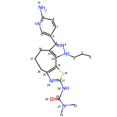 CCCn1nc(-c2ccc(N)nc2)c2c1-c1sc(NC(=O)N(C)C)nc1CCC2